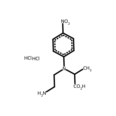 CC(C(=O)O)N(CCN)c1ccc([N+](=O)[O-])cc1.Cl.Cl